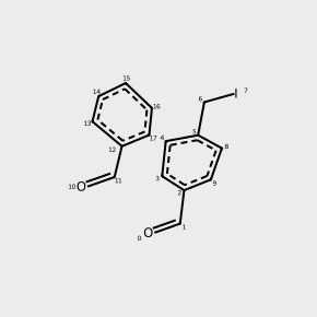 O=Cc1ccc(CI)cc1.O=Cc1ccccc1